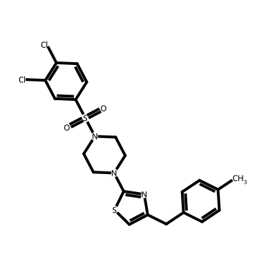 Cc1ccc(Cc2csc(N3CCN(S(=O)(=O)c4ccc(Cl)c(Cl)c4)CC3)n2)cc1